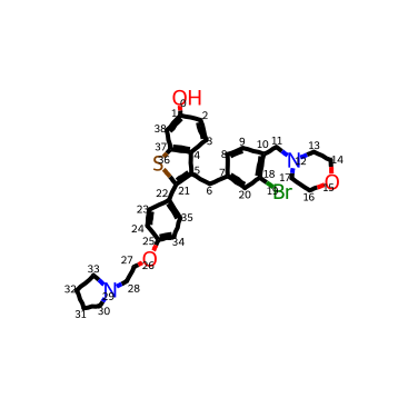 Oc1ccc2c(Cc3ccc(CN4CCOCC4)c(Br)c3)c(-c3ccc(OCCN4CCCC4)cc3)sc2c1